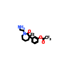 CCC1(c2cccc(OC(=O)C(F)(F)F)c2)CCCCN(CCN)C1=O